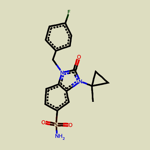 CC1(n2c(=O)n(Cc3ccc(F)cc3)c3ccc(S(N)(=O)=O)cc32)CC1